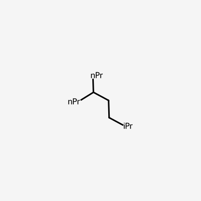 CCCC(CCC)CCC(C)C